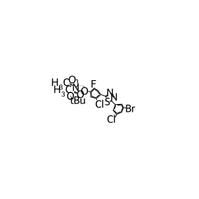 CC(C)(C)OC(=O)N1[C@@H](COc2cc(Cl)c(-c3nnc(-c4cc(Cl)cc(Br)c4)s3)cc2F)COC1(C)C